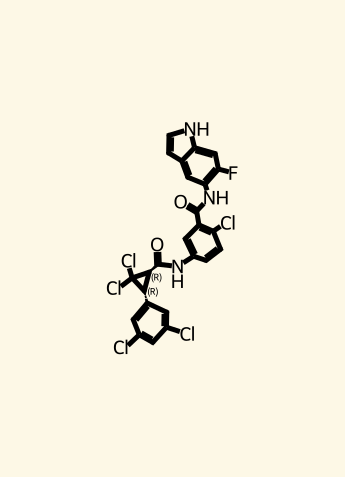 O=C(Nc1cc2cc[nH]c2cc1F)c1cc(NC(=O)[C@H]2[C@H](c3cc(Cl)cc(Cl)c3)C2(Cl)Cl)ccc1Cl